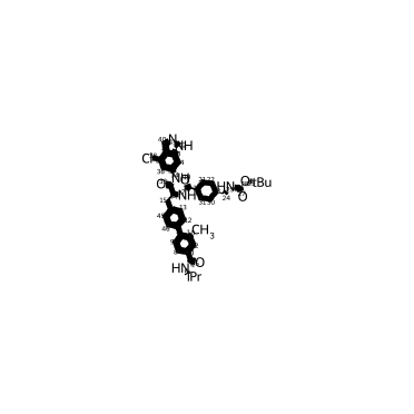 Cc1cc(C(=O)NC(C)C)ccc1-c1ccc(C[C@H](NC(=O)[C@H]2CC[C@H](CNC(=O)OC(C)(C)C)CC2)C(=O)Nc2cc(Cl)c3cn[nH]c3c2)cc1